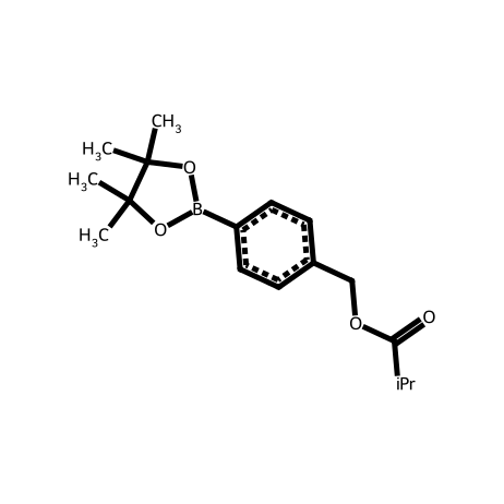 CC(C)C(=O)OCc1ccc(B2OC(C)(C)C(C)(C)O2)cc1